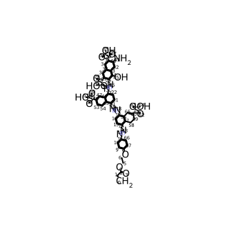 C=CC(=O)OCCOc1ccc(/N=N/c2ccc(/N=N/c3ccc(/N=N/c4c(S(=O)(=O)O)cc5cc(S(=O)(=O)O)c(N)cc5c4O)c4cc(S(=O)(=O)O)ccc34)c3c2CCC(S(=O)(=O)O)=C3)cc1